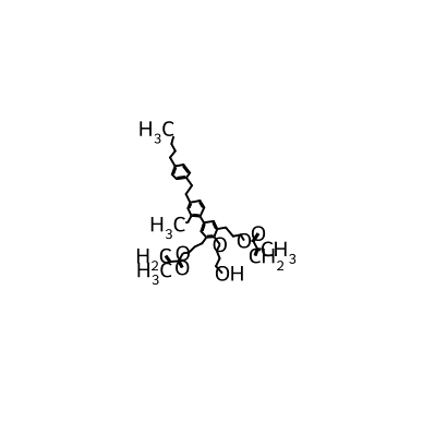 C=C(C)C(=O)OCCCc1cc(-c2ccc(CCc3ccc(CCCCC)cc3)cc2CC)cc(CCCOC(=O)C(=C)C)c1OCCCO